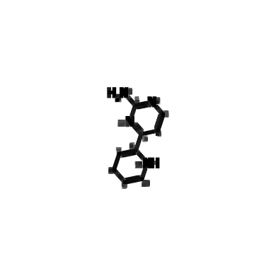 Nc1nccc(C2=CCC=CN2)n1